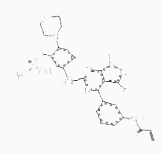 C=CC(=O)Nc1cccc(-c2nc(Nc3ccc(N4CCOCC4)c(OP(=O)(O)O)c3)nc3[nH]nc(Cl)c23)c1